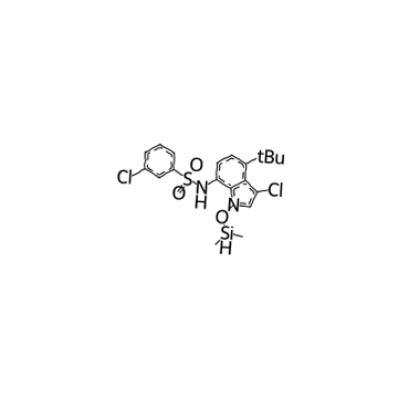 C[SiH](C)On1cc(Cl)c2c(C(C)(C)C)ccc(NS(=O)(=O)c3cccc(Cl)c3)c21